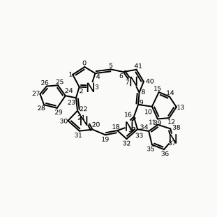 C1=CC2=NC1=CC1=NC(=C(c3ccccc3)C3=NC(=CC4=NC(=C2c2ccccc2)C=C4)C=C3c2ccncc2)C=C1